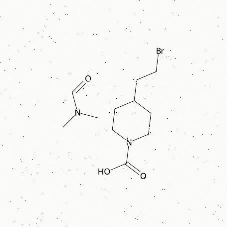 CN(C)C=O.O=C(O)N1CCC(CCBr)CC1